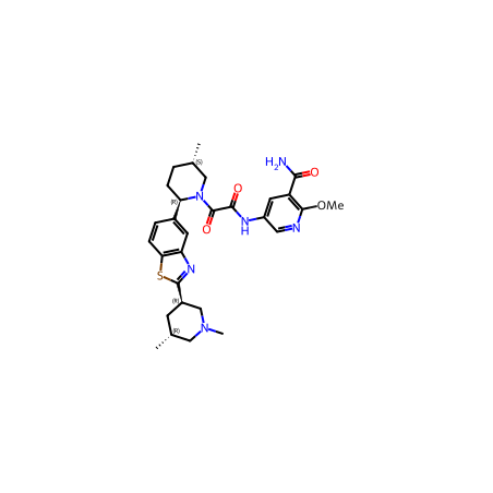 COc1ncc(NC(=O)C(=O)N2C[C@@H](C)CC[C@@H]2c2ccc3sc([C@@H]4C[C@@H](C)CN(C)C4)nc3c2)cc1C(N)=O